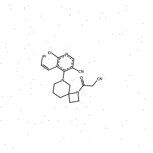 CCc1ncc(C#N)c(N2CCCC3(CCN3C(=O)CC#N)C2)c1/C=C\C(C)C